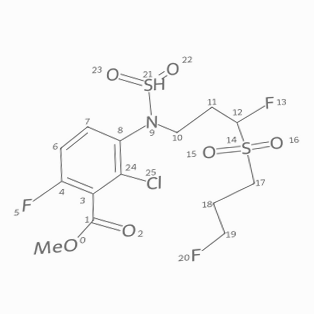 COC(=O)c1c(F)ccc(N(CCC(F)S(=O)(=O)CCCF)[SH](=O)=O)c1Cl